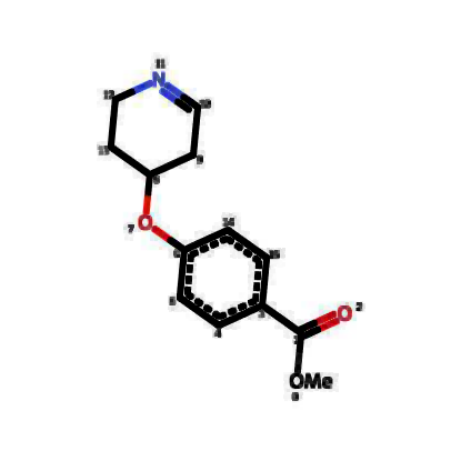 COC(=O)c1ccc(OC2CC=NCC2)cc1